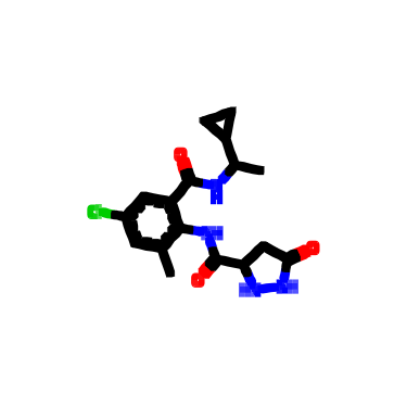 Cc1cc(Cl)cc(C(=O)NC(C)C2CC2)c1NC(=O)C1CC(=O)NN1